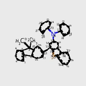 CC1(C)c2ccccc2-c2ccc(-c3cc(N(c4ccccc4)c4ccccc4)cc4c3sc3ccccc34)cc21